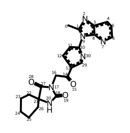 Cc1nc2cccnc2n1-c1ccc(C(=O)CN2C(=O)NC3(CCCCC3)C2=O)cn1